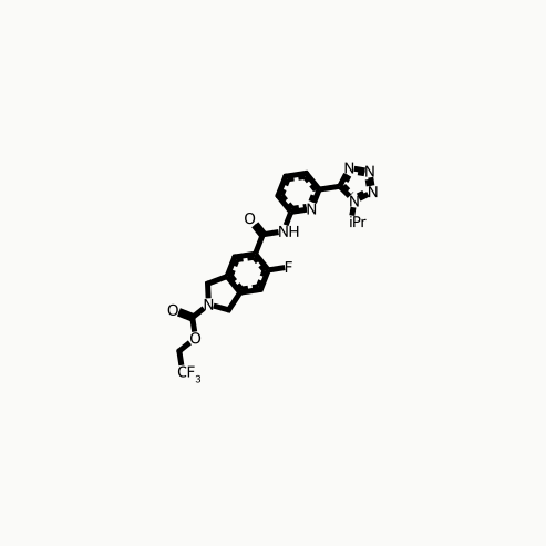 CC(C)n1nnnc1-c1cccc(NC(=O)c2cc3c(cc2F)CN(C(=O)OCC(F)(F)F)C3)n1